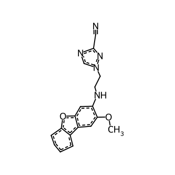 COc1cc2c(cc1NCCn1cnc(C#N)n1)oc1ccccc12